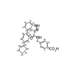 O=C(O)c1ccc(CNC(=O)c2n[nH]c3cccc(-c4ccc(C5=CCCCC5)cc4)c23)cc1